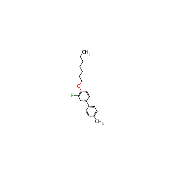 CCCCCCCOc1ccc(-c2ccc(C)cc2)cc1F